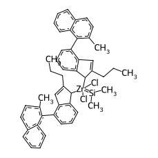 CCCC1=Cc2c(-c3c(C)ccc4ccccc34)cccc2[CH]1[Zr]([Cl])([Cl])([CH]1C(CCC)=Cc2c(-c3c(C)ccc4ccccc34)cccc21)=[Si](C)C